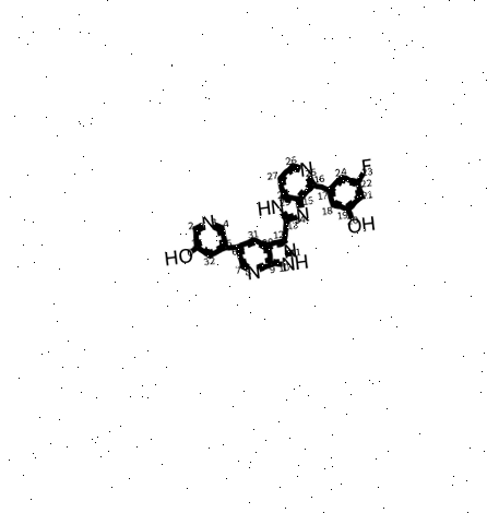 Oc1cncc(-c2cnc3[nH]nc(-c4nc5c(-c6cc(O)cc(F)c6)nccc5[nH]4)c3c2)c1